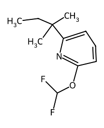 CCC(C)(C)c1cccc(OC(F)F)n1